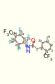 Cc1ccc(C(F)(F)F)c(CC(=O)Nc2c(F)c(F)c(C(F)(F)F)c(F)c2F)c1